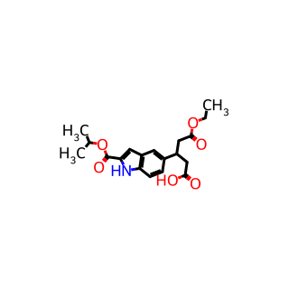 CCOC(=O)CC(CC(=O)O)c1ccc2[nH]c(C(=O)OC(C)C)cc2c1